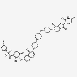 N#Cc1c(NS(=O)(=O)N2CC[C@@H](F)C2)ccc(F)c1Oc1ccc2ncn(-c3ccc(N4CCN(CC5CCN(c6ccc7c(c6F)CN(C6CCC(=O)NC6=O)C7=O)CC5)CC4)cc3)c(=O)c2c1